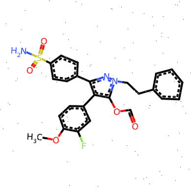 COc1ccc(-c2c(-c3ccc(S(N)(=O)=O)cc3)nn(CCc3ccccc3)c2OC=O)cc1F